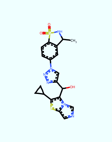 CC1NS(=O)(=O)c2ccc(-n3cc(C(O)c4c(C5CC5)sc5cncn45)nn3)cc21